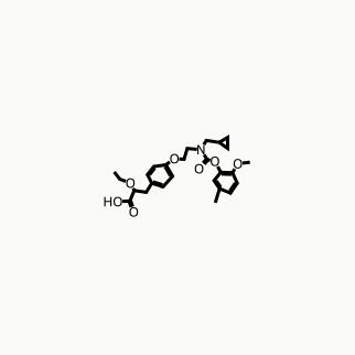 CCOC(Cc1ccc(OCCN(CC2CC2)C(=O)Oc2cc(C)ccc2OC)cc1)C(=O)O